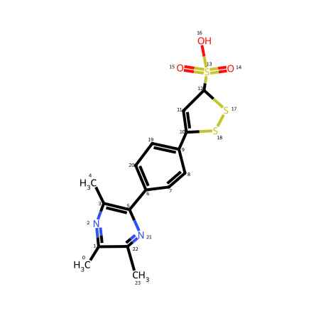 Cc1nc(C)c(-c2ccc(C3=CC(S(=O)(=O)O)SS3)cc2)nc1C